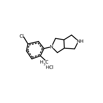 Cc1ccc(Cl)cc1N1CC2CNCC2C1.Cl